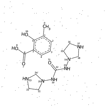 Cc1cccc(C(=O)O)c1O.O=C(NN1CCNC1)NN1CCNC1